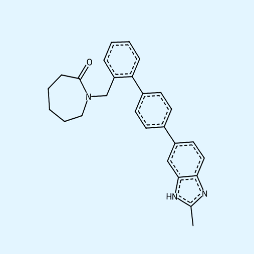 Cc1nc2ccc(-c3ccc(-c4ccccc4CN4CCCCCC4=O)cc3)cc2[nH]1